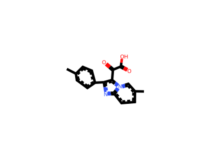 Cc1ccc(-c2nc3ccc(C)cn3c2C(=O)C(=O)O)cc1